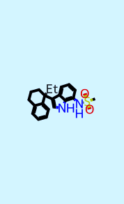 CCC1(c2c[nH]c3c(NS(C)(=O)=O)cccc23)CCCc2ccccc21